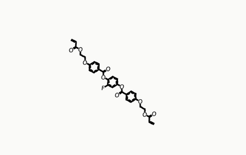 C=CC(=O)OCCOc1ccc(C(=O)Oc2ccc(OC(=O)c3ccc(OCCOC(=O)C=C)cc3)c(F)c2)cc1